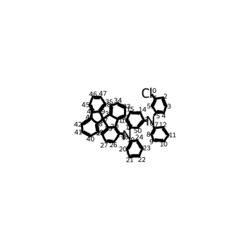 Clc1cccc(N(c2ccccc2)c2cccc(N(c3ccccc3)c3cccc4c3-c3ccccc3C43c4ccccc4-c4ccccc43)c2)c1